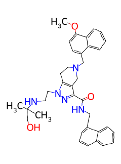 COc1ccc(CN2CCc3c(c(C(=O)NCc4cccc5ccccc45)nn3CCNC(C)(C)CO)C2)c2ccccc12